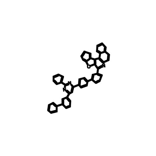 c1ccc(-c2cccc(-c3cc(-c4ccc(-c5cccc(-c6nc7ccc8ccccc8c7c7c6oc6ccccc67)c5)cc4)nc(-c4ccccc4)n3)c2)cc1